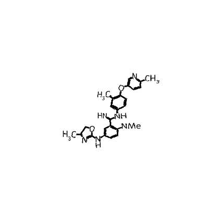 CNc1ccc(NC2=NC(C)CO2)cc1C(=N)Nc1ccc(Oc2ccc(C)nc2)c(C)c1